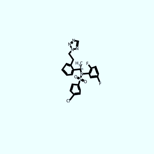 C[C@H](c1ccccc1CCn1ncnn1)N(c1cc(F)ccc1F)S(=O)(=O)c1ccc(Cl)cc1